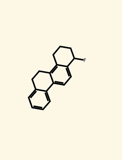 FC1CCCc2c1ccc1c2CCc2ccccc2-1